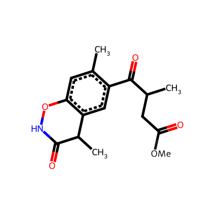 COC(=O)CC(C)C(=O)c1cc2c(cc1C)ONC(=O)C2C